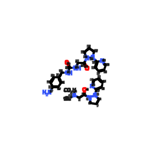 CC(C)(C)N(CC(=O)N1CCCN1c1ccccn1)C(=O)O.Nc1ccc(CNC(=O)NCC(=O)N2CCCN2c2ccccn2)cc1